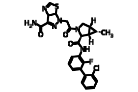 C[C@H]1[C@H]2CN(C(=O)CN3N=C(C(N)=O)C4N=CSC43)[C@H](C(=O)Nc3cccc(-c4ccccc4Cl)c3F)[C@@H]12